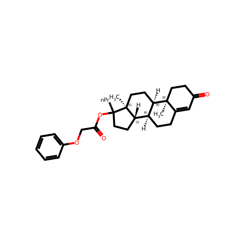 CCCC1(OC(=O)COc2ccccc2)CC[C@H]2[C@@H]3CCC4=CC(=O)CC[C@]4(C)[C@@H]3CC[C@@]21C